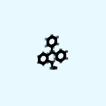 CCCCOc1ccccc1[S+](c1ccccc1)c1ccccc1